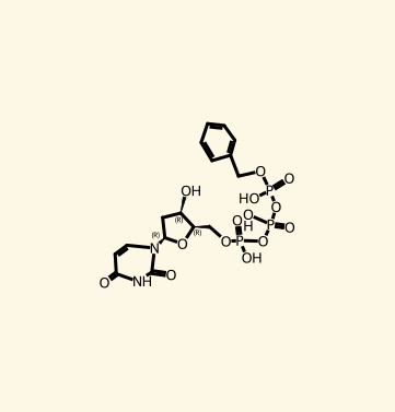 O=c1ccn([C@H]2C[C@@H](O)[C@@H](COP(=O)(O)OP(=O)(O)OP(=O)(O)OCc3ccccc3)O2)c(=O)[nH]1